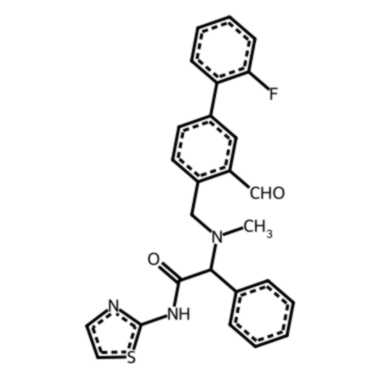 CN(Cc1ccc(-c2ccccc2F)cc1C=O)C(C(=O)Nc1nccs1)c1ccccc1